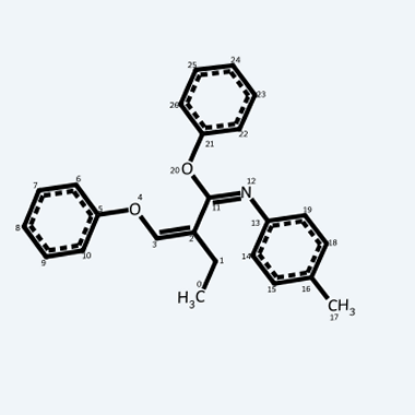 CCC(=COc1ccccc1)C(=Nc1ccc(C)cc1)Oc1ccccc1